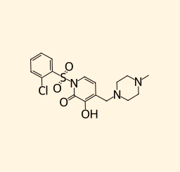 CN1CCN(Cc2ccn(S(=O)(=O)c3ccccc3Cl)c(=O)c2O)CC1